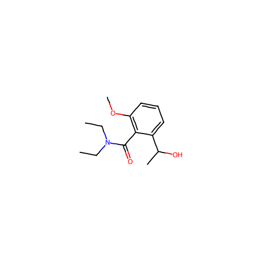 CCN(CC)C(=O)c1c(OC)cccc1C(C)O